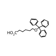 O=C(O)CCCCCOC(c1ccccc1)(c1ccccc1)c1ccccc1